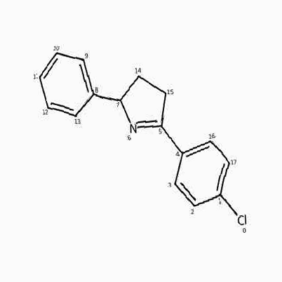 Clc1ccc(C2=NC(c3ccccc3)CC2)cc1